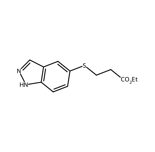 CCOC(=O)CCSc1ccc2[nH]ncc2c1